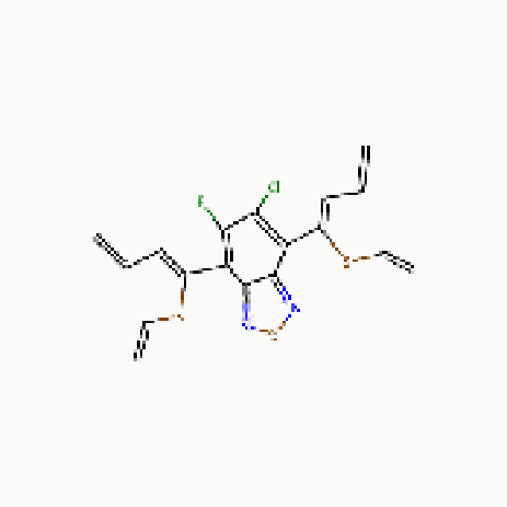 C=C/C=C(\SC=C)c1c(F)c(Cl)c(/C(=C/C=C)SC=C)c2nsnc12